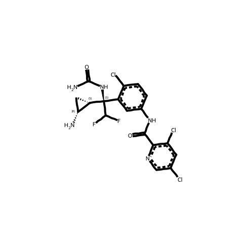 NC(=O)N[C@@](c1cc(NC(=O)c2ncc(Cl)cc2Cl)ccc1Cl)(C(F)F)[C@H]1C[C@H]1N